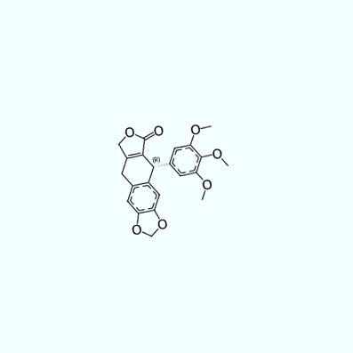 COc1cc([C@H]2C3=C(COC3=O)Cc3cc4c(cc32)OCO4)cc(OC)c1OC